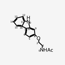 CC(=O)NCCOc1ccc2c(c1)[nH]c1ccccc12